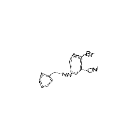 N#Cc1cc(NCc2ccccc2)ccc1Br